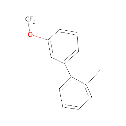 Cc1ccccc1-c1cccc(OC(F)(F)F)c1